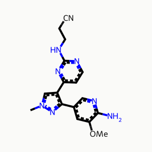 COc1cc(-c2nn(C)cc2-c2ccnc(NCCC#N)n2)cnc1N